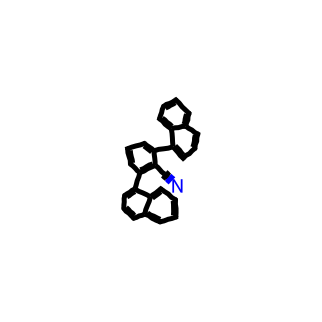 N#Cc1c(-c2cccc3ccccc23)cccc1-c1cccc2ccccc12